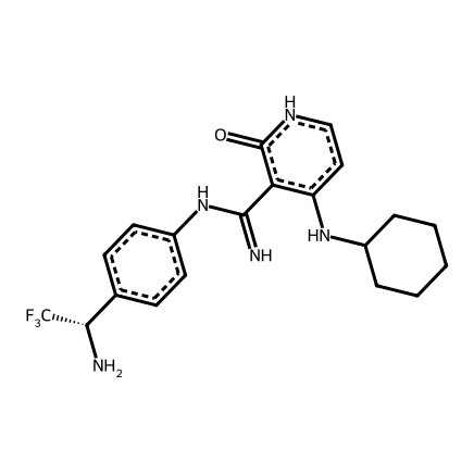 N=C(Nc1ccc([C@H](N)C(F)(F)F)cc1)c1c(NC2CCCCC2)cc[nH]c1=O